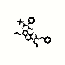 C=CC[C@@H]1C[C@@H](C(=O)N(C(=O)OC(C)(C)C)c2ccccc2)n2c1ncc(N(CC=C)C(=O)OCc1ccccc1)c2=O